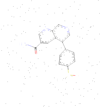 C[S+]([O-])c1ccc(-c2cncc3ncc(C(N)=O)cc23)cc1